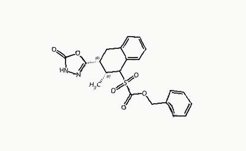 C[C@H]1C(S(=O)(=O)C(=O)OCc2ccccc2)c2ccccc2C[C@H]1c1n[nH]c(=O)o1